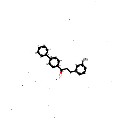 CCC(C)c1cccc(CCC(=O)c2ccc(-c3ccccc3)cc2)c1